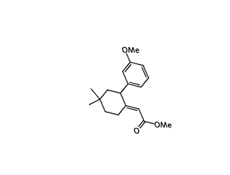 COC(=O)/C=C1\CCC(C)(C)CC1c1cccc(OC)c1